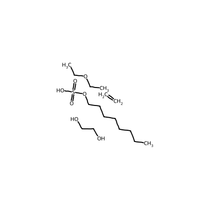 C=C.CCCCCCCCOS(=O)(=O)O.CCOCC.OCCO